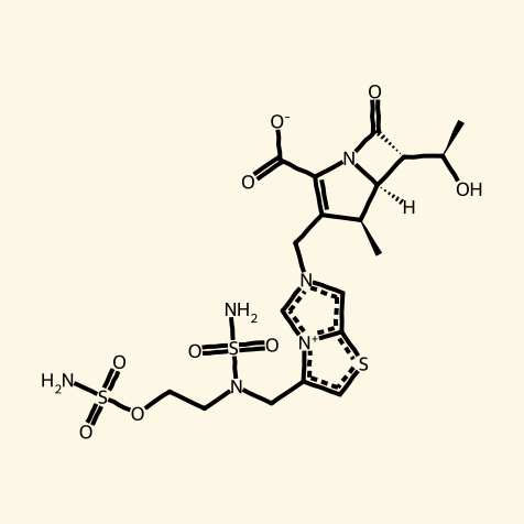 C[C@@H](O)[C@H]1C(=O)N2C(C(=O)[O-])=C(Cn3cc4scc(CN(CCOS(N)(=O)=O)S(N)(=O)=O)[n+]4c3)[C@H](C)[C@H]12